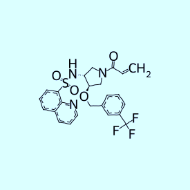 C=CC(=O)N1C[C@@H](NS(=O)(=O)c2cccc3cccnc23)[C@H](OCc2cccc(C(F)(F)F)c2)C1